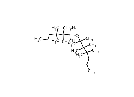 CCCC(C)(C)C(C)(C)C(C)(C)OC(C)(C)C(C)(C)C(C)(C)CCC